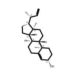 C=C[C@@H](C)[C@H]1CC[C@H]2[C@@H]3CCC4=C[C@@H](O)CC[C@]4(C)[C@H]3CC[C@]12C